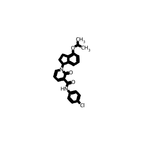 CC(C)Oc1cccc2c1CCC2n1cccc(C(=O)Nc2ccc(Cl)cc2)c1=O